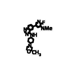 CNc1cc(-c2ccc3ncnc(N[C@H]4CC[C@H](N5CCO[C@@H](C)C5)CC4)c3c2)cnc1F